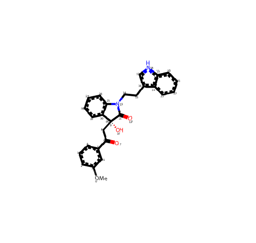 COc1cccc(C(=O)C[C@]2(O)C(=O)N(CCc3c[nH]c4ccccc34)c3ccccc32)c1